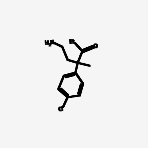 CCC(=O)C(C)(CCN)c1ccc(Cl)cc1